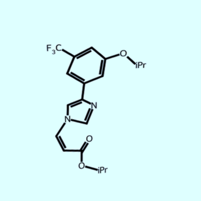 CC(C)OC(=O)/C=C\n1cnc(-c2cc(OC(C)C)cc(C(F)(F)F)c2)c1